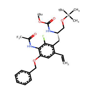 C=Cc1cc(OCc2ccccc2)c(NC(=O)C(F)(F)F)c(F)c1C[C@@H](CO[Si](C)(C)C(C)(C)C)NC(=O)OC(C)(C)C